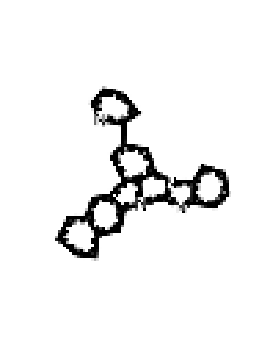 c1ccc(-c2cc3c4cc5ccccc5cc4n4c3c(c2)n2c3ccccc3nc24)nc1